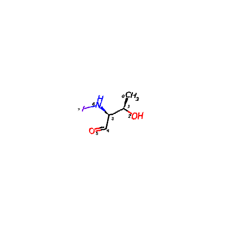 C[C@@H](O)[C@@H](C=O)NI